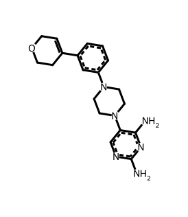 Nc1ncc(N2CCN(c3cccc(C4=CCOCC4)c3)CC2)c(N)n1